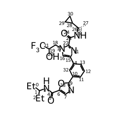 CCC(CC)NC(=O)c1cnc(-c2cccc(-c3cn(CC(O)C(F)(F)F)c(C(=O)N[C@@H](C)C4CC4)n3)c2)o1